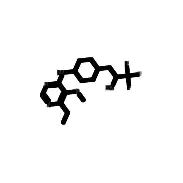 CCc1ncnc(NC2CCC(CC(O)C(F)(F)F)CC2)c1OC